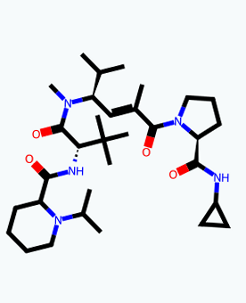 C/C(=C\[C@H](C(C)C)N(C)C(=O)[C@@H](NC(=O)C1CCCCN1C(C)C)C(C)(C)C)C(=O)N1CCC[C@H]1C(=O)NC1CC1